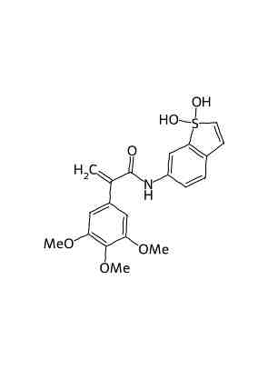 C=C(C(=O)Nc1ccc2c(c1)S(O)(O)C=C2)c1cc(OC)c(OC)c(OC)c1